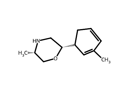 CC1=CC([C@H]2CN[C@@H](C)CO2)CC=C1